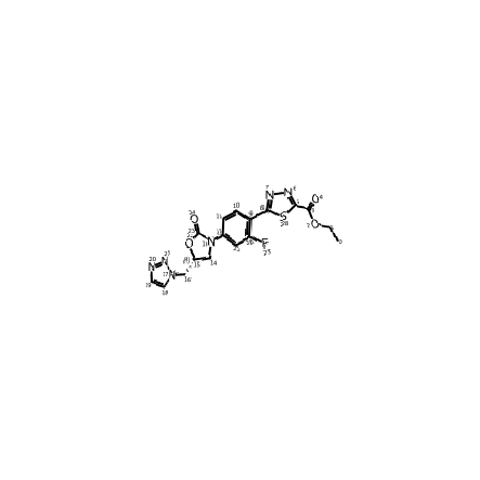 CCOC(=O)c1nnc(-c2ccc(N3C[C@H](Cn4ccnn4)OC3=O)cc2F)s1